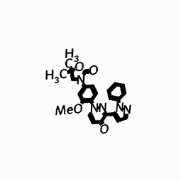 COc1cc(N2CC(C)(C)OC2=O)ccc1-n1ccc(=O)c(-c2ccnn2-c2ccccc2)n1